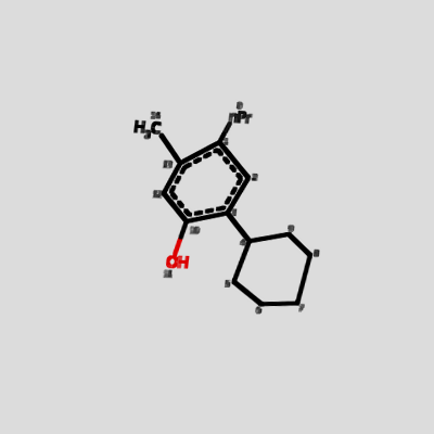 CCCc1cc(C2CCCCC2)c(O)cc1C